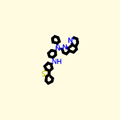 c1ccc(N(c2cccc(Nc3ccc4sc5ccccc5c4c3)c2)c2ccc3ccc4cccnc4c3n2)cc1